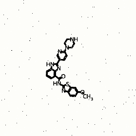 COc1ccc2nc(NC(=O)c3cccc4[nH]c(-c5ccc(N6CCNCC6)nc5)nc34)sc2c1